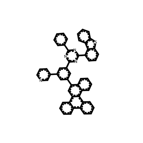 c1ccc(-c2nc(-c3cc(-c4cccnc4)cc(-c4cc5c6ccccc6c6ccccc6c5c5ccccc45)c3)nc(-c3cccc4sc5ccccc5c34)n2)cc1